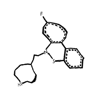 Fc1ccc2c(c1)N(CC1CCNCC1)Sc1ccccc1-2